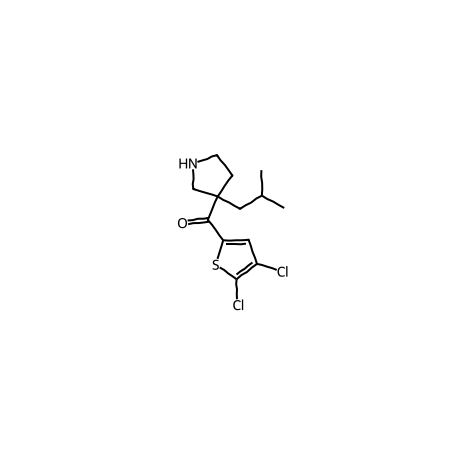 CC(C)CC1(C(=O)c2cc(Cl)c(Cl)s2)CCNC1